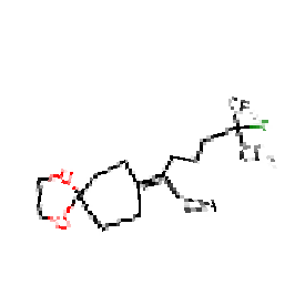 N#CC(CCCC(F)(C(F)(F)F)C(F)(F)F)=C1CCC2(CC1)OCCO2